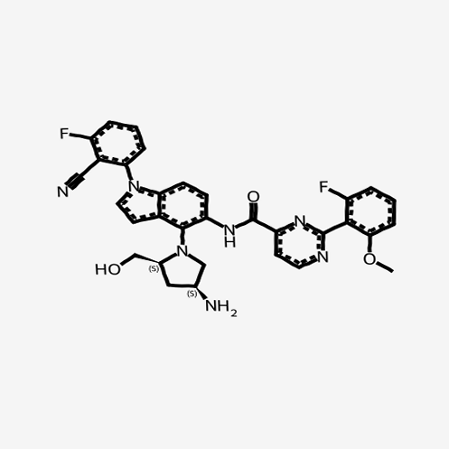 COc1cccc(F)c1-c1nccc(C(=O)Nc2ccc3c(ccn3-c3cccc(F)c3C#N)c2N2C[C@@H](N)C[C@H]2CO)n1